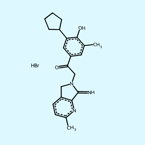 Br.Cc1ccc2c(n1)C(=N)N(CC(=O)c1cc(C)c(O)c(C3CCCC3)c1)C2